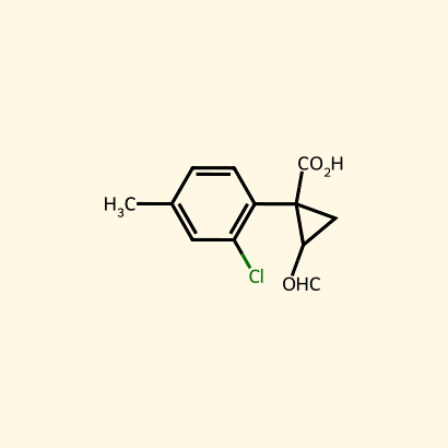 Cc1ccc(C2(C(=O)O)CC2C=O)c(Cl)c1